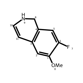 COc1cc2c(cc1F)CNC=C2